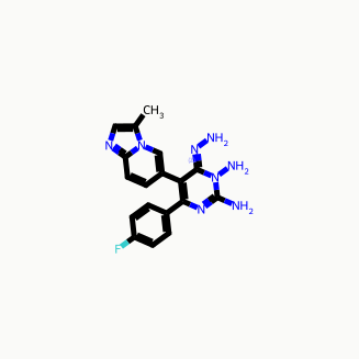 Cc1cnc2ccc(-c3c(-c4ccc(F)cc4)nc(N)n(N)/c3=N\N)cn12